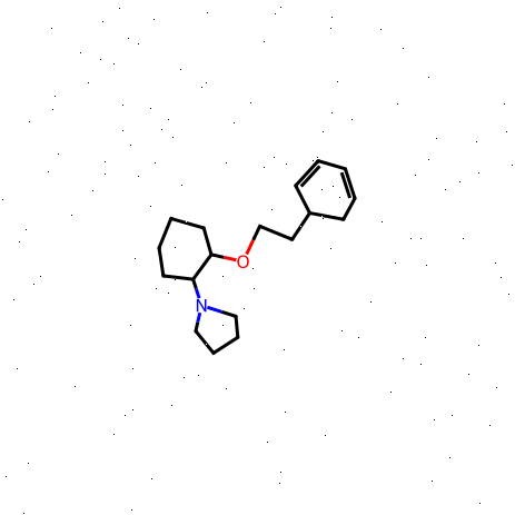 C1=CCC(CCOC2CCCCC2N2CCCC2)C=C1